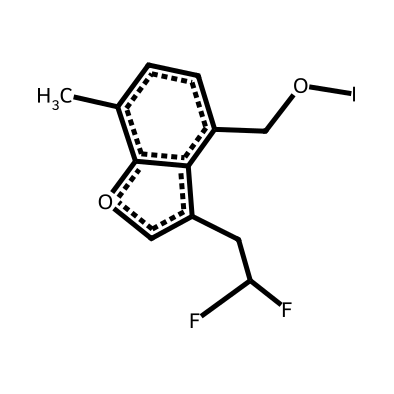 Cc1ccc(COI)c2c(CC(F)F)coc12